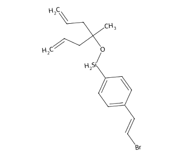 C=CCC(C)(CC=C)O[SiH2]c1ccc(C=CBr)cc1